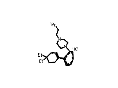 CCC1(CC)CC=C(c2ccccc2N2CCN(CCC(C)C)CC2)CC1.Cl